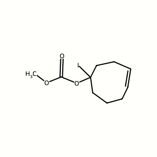 COC(=O)OC1(I)CCC=CCCC1